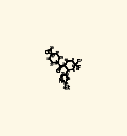 CCn1cc(C2CC(F)(F)CCC2C(=O)N2CCC3(CC2)CO3)cn1